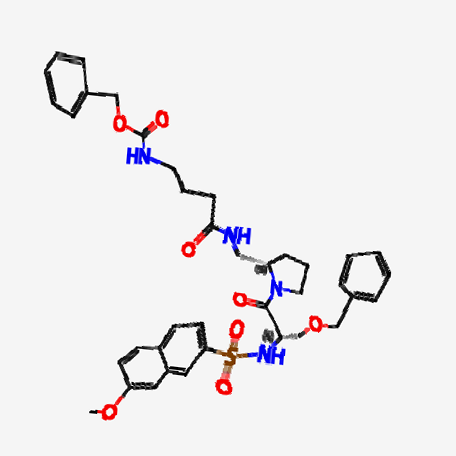 COc1ccc2ccc(S(=O)(=O)N[C@@H](COCc3ccccc3)C(=O)N3CCC[C@H]3CNC(=O)CCCNC(=O)OCc3ccccc3)cc2c1